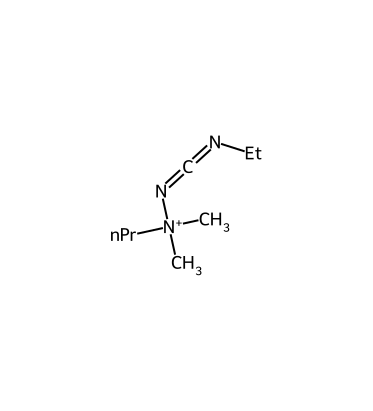 CCC[N+](C)(C)N=C=NCC